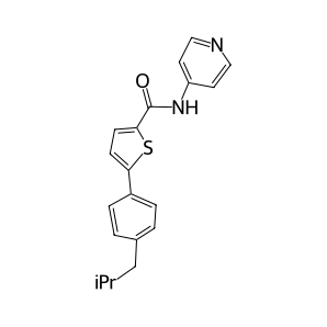 CC(C)Cc1ccc(-c2ccc(C(=O)Nc3ccncc3)s2)cc1